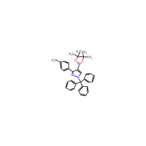 CC1(C)OB(c2cn(C(c3ccccc3)(c3ccccc3)c3ccccc3)nc2-c2ccc([N+](=O)[O-])cc2)OC1(C)C